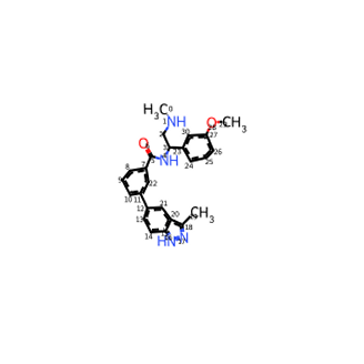 CNCC(NC(=O)c1cccc(-c2ccc3[nH]nc(C)c3c2)c1)c1cccc(OC)c1